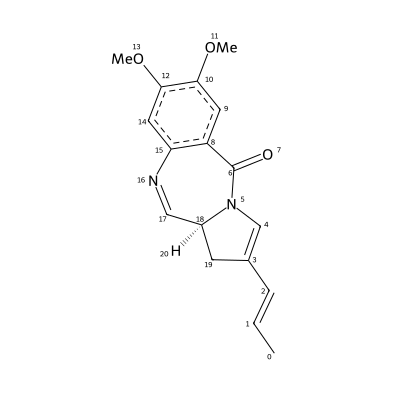 CC=CC1=CN2C(=O)c3cc(OC)c(OC)cc3N=C[C@@H]2C1